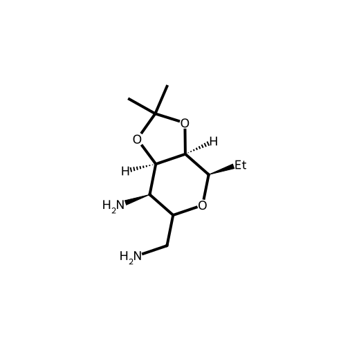 CC[C@H]1OC(CN)[C@@H](N)[C@H]2OC(C)(C)O[C@H]21